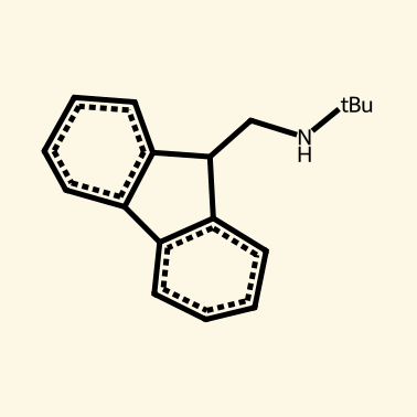 CC(C)(C)NCC1c2ccccc2-c2ccccc21